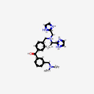 CCCN(CCC)Cc1cccc(C(=O)c2ccc(CN(Cc3ncc[nH]3)C(C)c3ncc[nH]3)cc2)c1